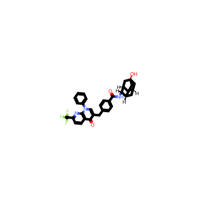 O=C(N[C@@H]1[C@@H]2C[C@@H]3C[C@H]1C[C@@](O)(C3)C2)c1ccc(Cc2cn(-c3ccccc3)c3nc(C(F)(F)F)ccc3c2=O)cc1